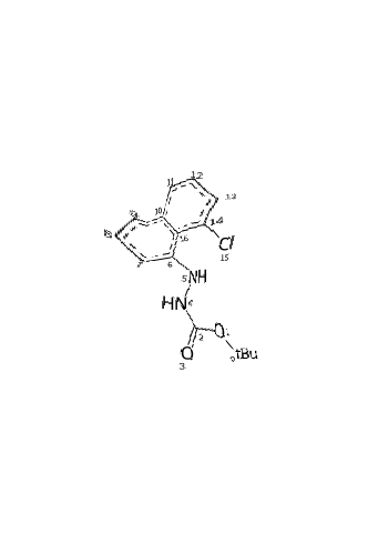 CC(C)(C)OC(=O)NNc1cccc2cccc(Cl)c12